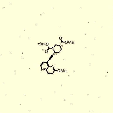 COC(=O)[C@@H]1CC[C@@H](C#Cc2ccnc3ccc(OC)nc23)N(C(=O)OC(C)(C)C)C1